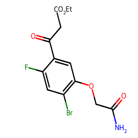 CCOC(=O)CC(=O)c1cc(OCC(N)=O)c(Br)cc1F